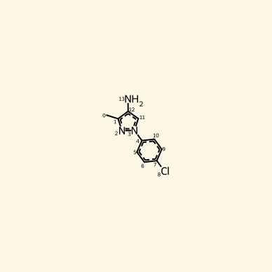 Cc1nn(-c2ccc(Cl)cc2)cc1N